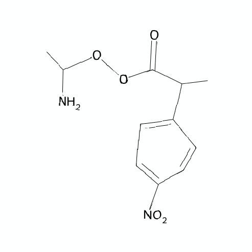 CC(N)OOC(=O)C(C)c1ccc([N+](=O)[O-])cc1